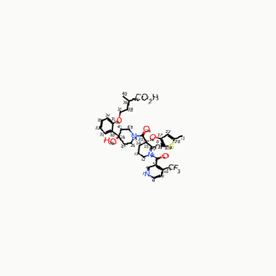 CCC[C@H]1N(C(=O)c2cnccc2C(F)(F)F)CCC[C@@]1(Oc1csc(C)c1)C(=O)N1CCC(O)(c2ccccc2OCCC(C)C(=O)O)CC1